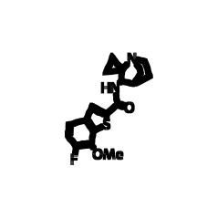 COc1c(F)ccc2cc(C(=O)NC3C4CCN(CC4)C34CC4)sc12